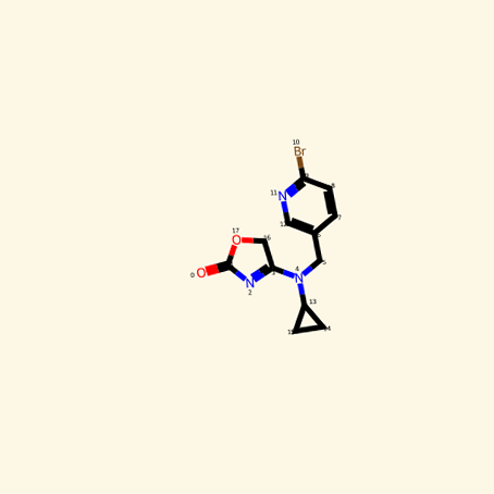 O=C1N=C(N(Cc2ccc(Br)nc2)C2CC2)CO1